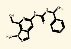 CC(NC(=O)Nc1cc2cnn(C)c2c(CO)n1)c1ccccc1